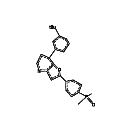 CC(C)(C)c1cccc(-c2ccnc3cc(-c4ccc(P(C)(C)=O)cc4)oc23)c1